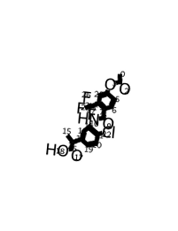 CC(=O)Oc1ccc(C(=O)Nc2cc(C(C)C(=O)O)ccc2Cl)c(C(F)(F)F)c1